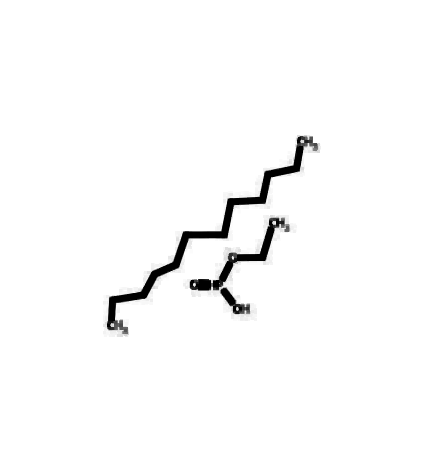 CCCCCCCCCCCC.CCO[PH](=O)O